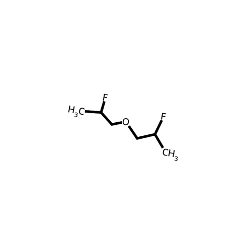 CC(F)COCC(C)F